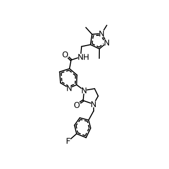 Cc1nn(C)c(C)c1CNC(=O)c1ccnc(N2CCN(Cc3ccc(F)cc3)C2=O)c1